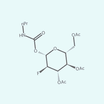 CCCNC(=O)O[C@@H]1O[C@H](COC(C)=O)[C@@H](OC(C)=O)[C@H](OC(C)=O)[C@H]1F